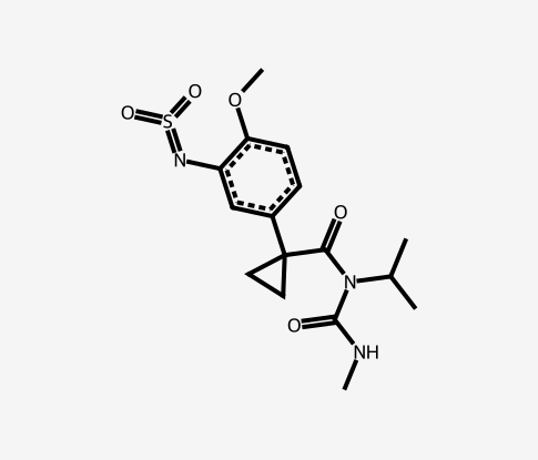 CNC(=O)N(C(=O)C1(c2ccc(OC)c(N=S(=O)=O)c2)CC1)C(C)C